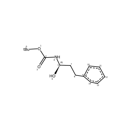 CC(C)(C)OC(=O)N[C@H](O)CCc1ccccc1